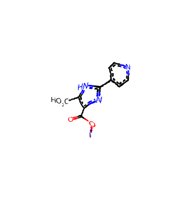 O=C(OI)c1nc(-c2ccncc2)[nH]c1C(=O)O